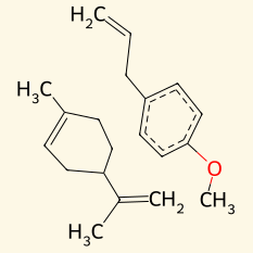 C=C(C)C1CC=C(C)CC1.C=CCc1ccc(OC)cc1